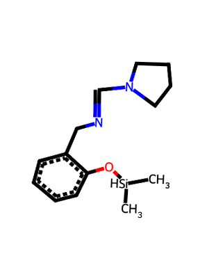 C[SiH](C)Oc1ccccc1CN=CN1CCCC1